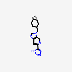 CC1CCC(Cn2cnc3cc(-c4nnn[nH]4)ncc32)CC1